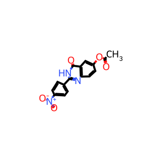 CC(=O)Oc1ccc2nc(-c3ccc([N+](=O)[O-])cc3)[nH]c(=O)c2c1